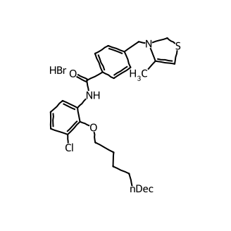 Br.CCCCCCCCCCCCCCOc1c(Cl)cccc1NC(=O)c1ccc(CN2CSC=C2C)cc1